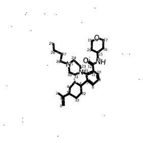 C=C(C)C1CCC(c2cccc(C(=O)NC3CCOCC3)c2N2CCN(CCCC)CC2)CC1